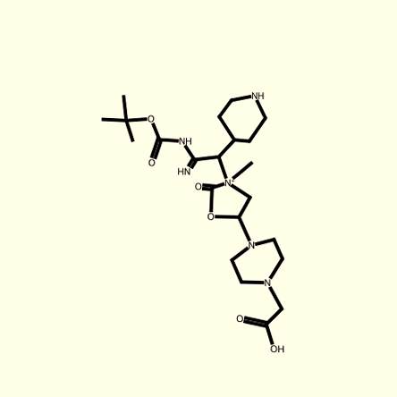 CC(C)(C)OC(=O)NC(=N)C(C1CCNCC1)[N+]1(C)CC(N2CCN(CC(=O)O)CC2)OC1=O